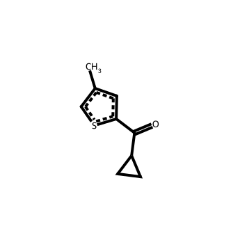 Cc1csc(C(=O)C2CC2)c1